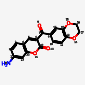 Nc1ccc2cc(C(=O)c3ccc4c(c3)OCCO4)c(=O)oc2c1